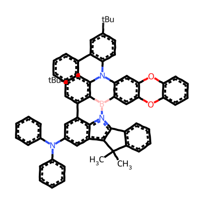 CC(C)(C)c1ccc(N2c3cc4c(cc3B3c5c(cc(C(C)(C)C)cc52)-c2cc(N(c5ccccc5)c5ccccc5)cc5c6c(n3c25)-c2ccccc2C6(C)C)Oc2ccccc2O4)c(-c2ccccc2)c1